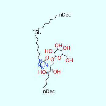 CCCCCCCCCCCCCCCCC[Si](C)(C)CCCCCCCn1nnn(C(COC2OC(CO)C(O)C(O)C2O)[C@H](O)[C@H](O)CCCCCCCCCCCCCC)c1=O